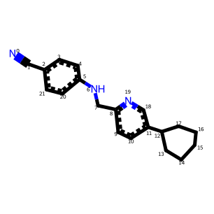 N#Cc1ccc(NCc2ccc(C3CCCCC3)cn2)cc1